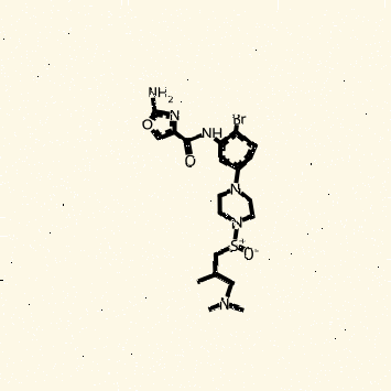 CC(CN(C)C)C[S+]([O-])N1CCN(c2ccc(Br)c(NC(=O)c3coc(N)n3)c2)CC1